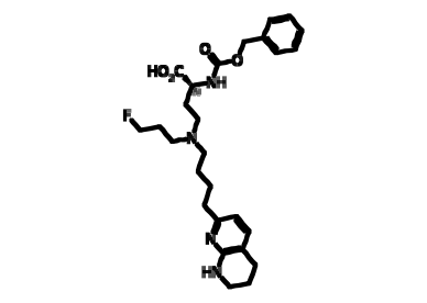 O=C(N[C@@H](CCN(CCCF)CCCCc1ccc2c(n1)NCCC2)C(=O)O)OCc1ccccc1